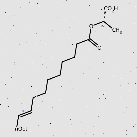 CCCCCCCC/C=C/CCCCCCCC(=O)O[C@@H](C)C(=O)O